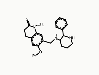 CC(C)Oc1cc2c(cc1CNC1CCCNC1c1ccccc1)N(C)C(=S)CC2